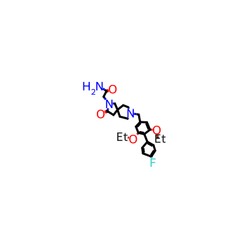 CCOc1cc(CN2CCC3(CC2)CC(=O)N(CC(N)=O)C3)cc(OCC)c1-c1ccc(F)cc1